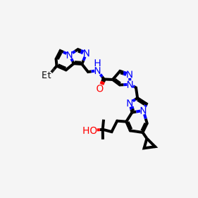 CCc1ccn2cnc(CNC(=O)c3cnn(Cc4cn5cc(C6CC6)cc(CCC(C)(C)O)c5n4)c3)c2c1